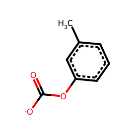 Cc1cccc(OC([O])=O)c1